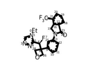 CCn1cnnc1[C@@H](F)C1(c2cccc(N3Cc4c(cccc4C(F)(F)F)C3=O)c2)COC1